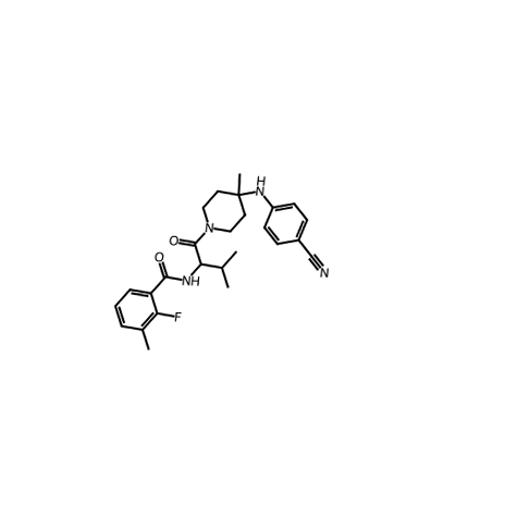 Cc1cccc(C(=O)NC(C(=O)N2CCC(C)(Nc3ccc(C#N)cc3)CC2)C(C)C)c1F